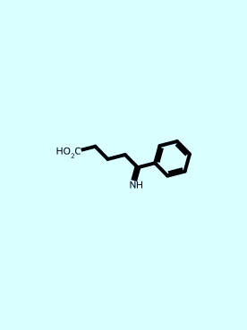 N=C(CCCC(=O)O)c1ccccc1